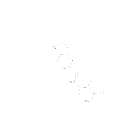 O=C(Nc1ccc2ncsc2c1)c1cccc(Cl)c1Cl